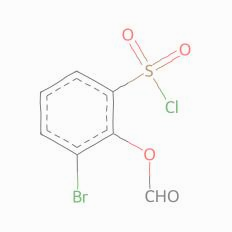 O=COc1c(Br)cccc1S(=O)(=O)Cl